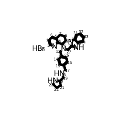 Br.c1cnc2c(c1)CCCC2N(Cc1ccc(CNCC2CCCN2)cc1)Cc1nc2ccccc2[nH]1